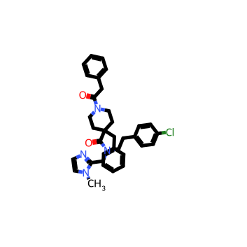 Cn1ccnc1CN(CCc1ccc(Cl)cc1)C(=O)C1(Cc2ccccc2)CCN(C(=O)Cc2ccccc2)CC1